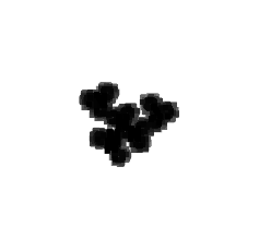 c1ccc(-c2cc(-c3cc(-n4c5ccccc5c5cc(-c6ccc7c8ccccc8n(-c8ccccc8)c7c6)ccc54)cc(-n4c5ccccc5c5cc(-c6ccc7c8ccccc8n(-c8ccccc8)c7c6)ccc54)c3)nc(-c3ccccc3)n2)cc1